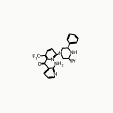 CC(C)C1CN(c2ccc(C(F)(F)F)c(C(=O)c3cccnc3N)n2)C[C@@H](c2ccccc2)N1